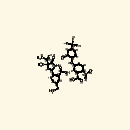 CCc1cnc(C2=NC(C)(C(C)C)C(=O)N2)c(C(=O)O)c1.O=C(O)c1cc(Oc2ccc(C(F)(F)F)cc2Cl)ccc1[N+](=O)[O-]